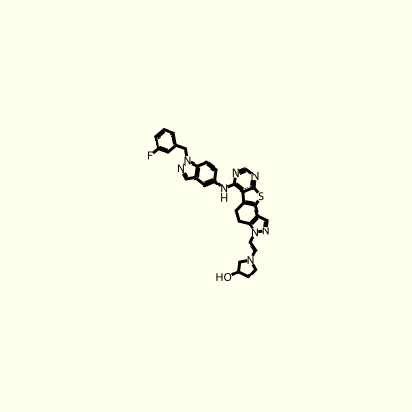 OC1CCN(CCn2ncc3c2CCc2c-3sc3ncnc(Nc4ccc5c(cnn5Cc5cccc(F)c5)c4)c23)C1